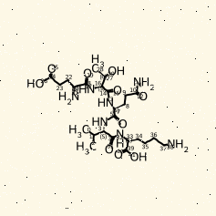 CC(C)[C@H](NC(=O)[C@H](CCC(N)=O)NC(=O)[C@@H](NC(=O)[C@@H](N)CCC(=O)O)[C@@H](C)O)C(=O)N[C@@H](CCCCN)C(=O)O